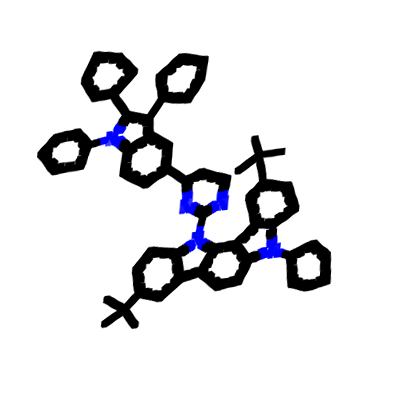 CC(C)(C)c1ccc2c(c1)c1c(ccc3c4cc(C(C)(C)C)ccc4n(-c4nccc(-c5ccc6c(c5)c(-c5ccccc5)c(-c5ccccc5)n6-c5ccccc5)n4)c31)n2-c1ccccc1